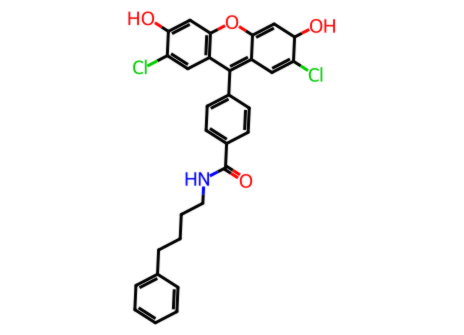 O=C(NCCCCc1ccccc1)c1ccc(C2=C3C=C(Cl)C(O)C=C3Oc3cc(O)c(Cl)cc32)cc1